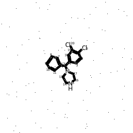 Clc1ccc(C(c2ccccc2)N2CCNCC2)cc1Cl